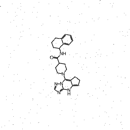 O=C(NC1CCCc2ccccc21)C1CCN(C2=C3CCC=C3Nc3ncnn32)CC1